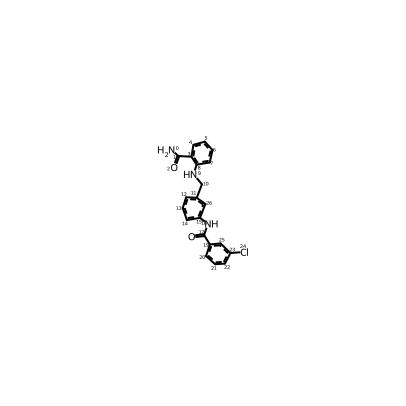 NC(=O)c1ccccc1NCc1cccc(NC(=O)c2cccc(Cl)c2)c1